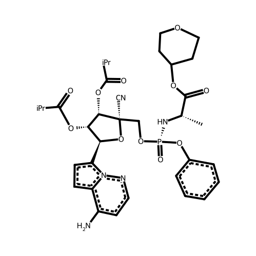 CC(C)C(=O)O[C@H]1[C@H](c2ccc3c(N)ccnn23)O[C@](C#N)(CO[P@@](=O)(N[C@@H](C)C(=O)OC2CCOCC2)Oc2ccccc2)[C@H]1OC(=O)C(C)C